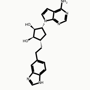 Nc1ncnc2c1ccn2[C@@H]1C[C@H](CCc2ccc3[nH]cnc3c2)[C@@H](O)[C@H]1O